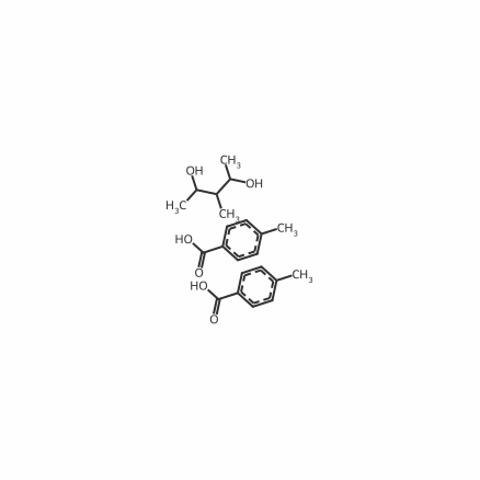 CC(O)C(C)C(C)O.Cc1ccc(C(=O)O)cc1.Cc1ccc(C(=O)O)cc1